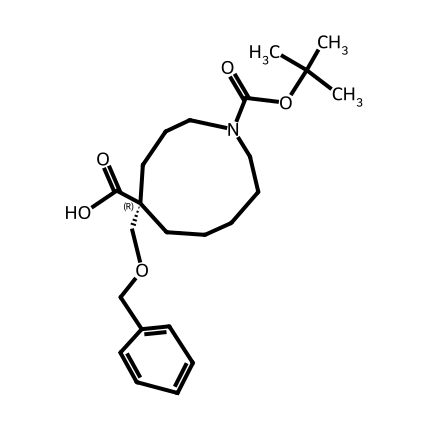 CC(C)(C)OC(=O)N1CCCCC[C@@](COCc2ccccc2)(C(=O)O)CCC1